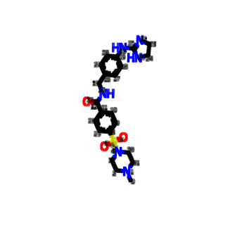 CN1CCN(S(=O)(=O)c2ccc(C(=O)NCc3ccc(NC4=NCCN4)cc3)cc2)CC1